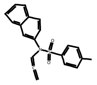 C=C=CN(c1ccc2ccccc2c1)S(=O)(=O)c1ccc(C)cc1